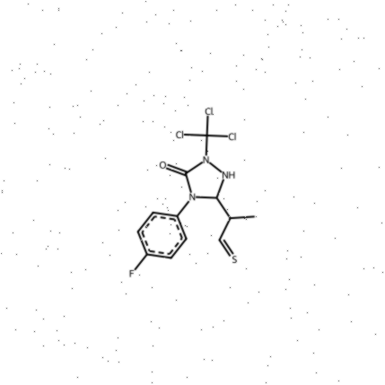 CC(C=S)C1NN(C(Cl)(Cl)Cl)C(=O)N1c1ccc(F)cc1